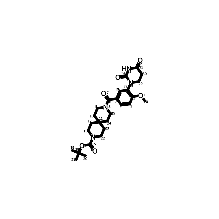 COc1ccc(C(=O)N2CCC3(CCN(C(=O)OC(C)(C)C)CC3)CC2)cc1N1CCC(=O)NC1=O